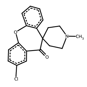 CN1CCC2(CC1)C(=O)c1cc(Cl)ccc1Oc1ccccc12